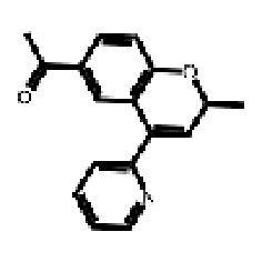 CC(=O)c1ccc2c(c1)C(c1ccccn1)=CC(C)O2